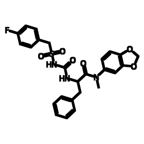 CN(C(=O)C(Cc1ccccc1)NC(=O)NS(=O)(=O)Cc1ccc(F)cc1)c1ccc2c(c1)OCO2